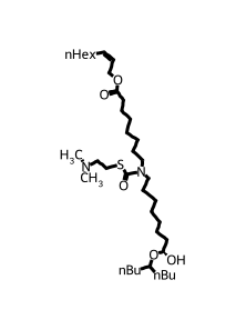 CCCCCC/C=C\COC(=O)CCCCCCCN(CCCCCCC[C@@H](O)OC(CCCC)CCCC)C(=O)SCCN(C)C